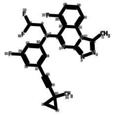 Cc1nnc2nc(N(CC(F)F)c3cc(F)cc(C#CC4(C(F)(F)F)CC4)c3)c3c(F)cccc3n12